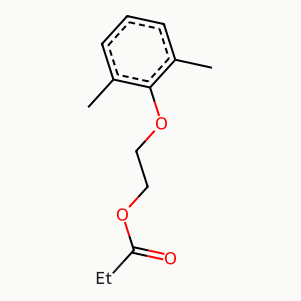 CCC(=O)OCCOc1c(C)cccc1C